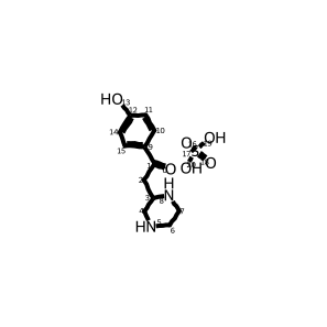 O=C(CC1CNCCN1)c1ccc(O)cc1.O=S(=O)(O)O